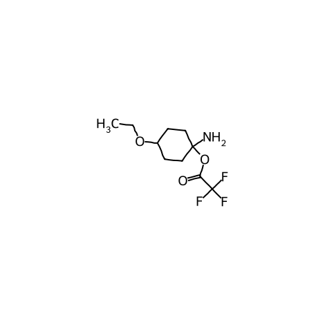 CCOC1CCC(N)(OC(=O)C(F)(F)F)CC1